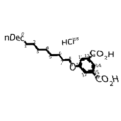 CCCCCCCCCCCCCCCCCCOc1cc(C(=O)O)cc(C(=O)O)c1.Cl